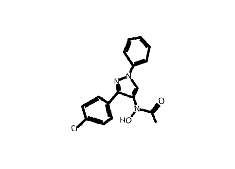 CC(=O)N(O)c1cn(-c2ccccc2)nc1-c1ccc(Cl)cc1